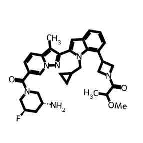 COC(C)C(=O)N1CC(c2cccc3cc(-c4nn5cc(C(=O)N6C[C@H](N)C[C@@H](F)C6)ccc5c4C)n(CC4CC4)c23)C1